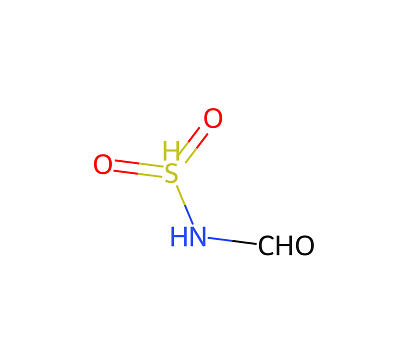 O=CN[SH](=O)=O